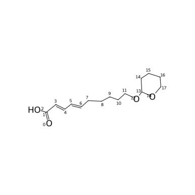 O=C(O)/C=C/C=C/CCCCCOC1CCCCO1